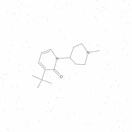 CN1CCC(n2cccc(C(C)(C)C)c2=O)CC1